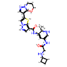 CC1NC=C(NC(=O)CNC2CCC2)C=C1NC(=O)c1cnn2cc(-c3cnn4c3OCCC4)sc12